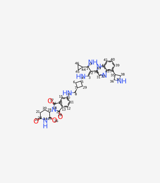 N=C(/C(=C\N[C@H]1C[C@H](CNc2ccc3c(c2)C(=O)N(C2CCC(=O)NC2=O)C3=O)C1)c1cnc2c(C3CNC3)cccc2n1)C1CC1